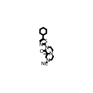 C[C@]12CN(C#N)CCN1CCN(c1ncc(C3CCCCC3)s1)C2=O